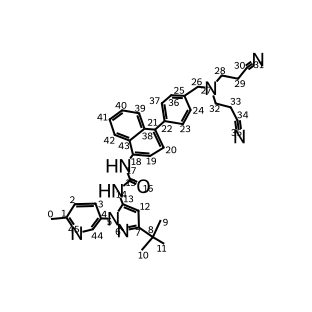 Cc1ccc(-n2nc(C(C)(C)C)cc2NC(=O)Nc2ccc(-c3ccc(CN(CCC#N)CCC#N)cc3)c3ccccc23)cn1